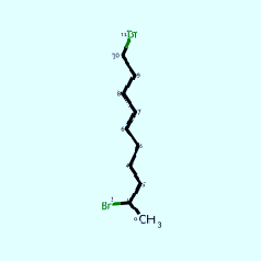 CC(Br)CCCCCCCCBr